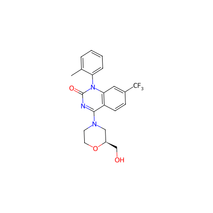 Cc1ccccc1-n1c(=O)nc(N2CCO[C@H](CO)C2)c2ccc(C(F)(F)F)cc21